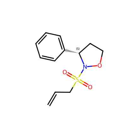 C=CCS(=O)(=O)N1OCC[C@H]1c1ccccc1